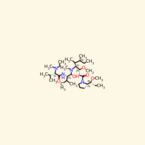 CC[C@H](C)C(C)[C@@H]([C@@H](CC(=O)N1CCC[C@H]1[C@@H](CC)OC)OC)N(C)C(O)[C@@H](NC(=O)[C@H](C(C)C)N(C)CC)C(C)C